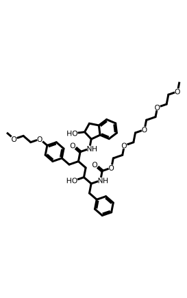 COCCOCCOCCOCCOC(=O)NC(Cc1ccccc1)C(O)CC(Cc1ccc(OCCOC)cc1)C(=O)NC1c2ccccc2CC1O